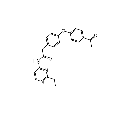 CCc1nccc(NC(=O)Cc2ccc(Oc3ccc(C(C)=O)cc3)cc2)n1